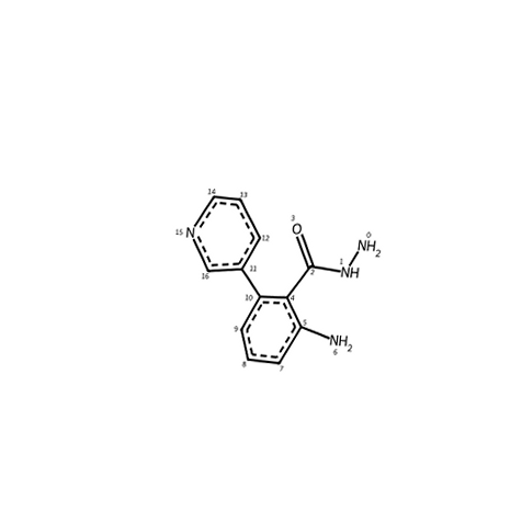 NNC(=O)c1c(N)cccc1-c1cccnc1